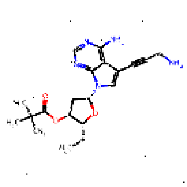 CC[C@H]1O[C@@H](n2cc(C#CCN)c3c(N)ncnc32)C[C@@H]1OC(=O)C(C)(C)C